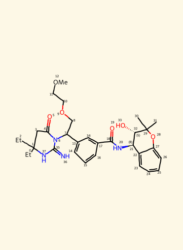 CCC1(CC)CC(=O)N(C(COCCOC)c2cccc(C(=O)N[C@@H]3c4ccccc4OC(C)(C)[C@H]3O)c2)C(=N)N1